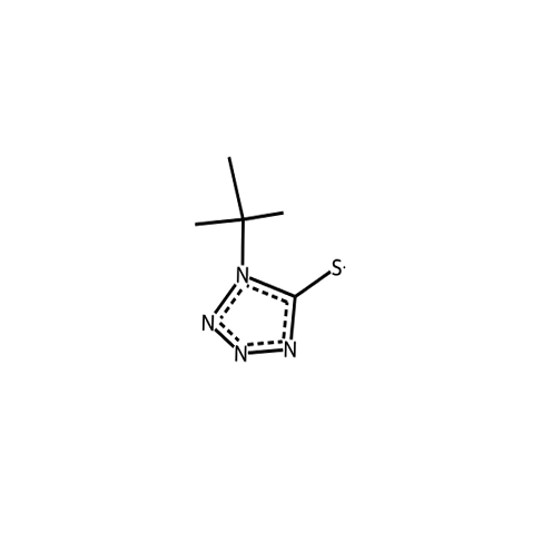 CC(C)(C)n1nnnc1[S]